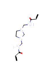 C=CC(=O)NCN1CCN(CNC(=O)C=C)C1